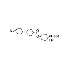 CCCCCCCC1(C#N)CCC(OC(=O)C2CCC(C3CCC(CC)CC3)CC2)CC1